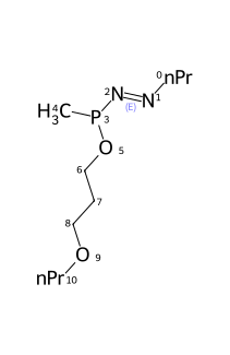 CCC/N=N/P(C)OCCCOCCC